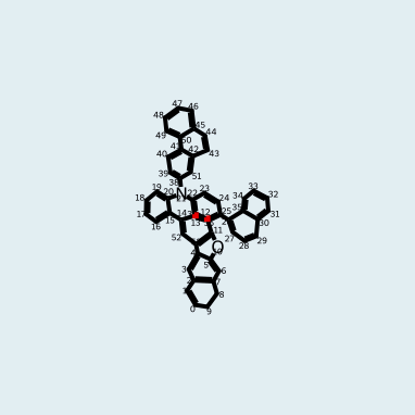 C1=Cc2cc3c(cc2CC1)oc1ccc(-c2ccccc2N(c2ccc(-c4cccc5ccccc45)cc2)c2ccc4c(ccc5ccccc54)c2)cc13